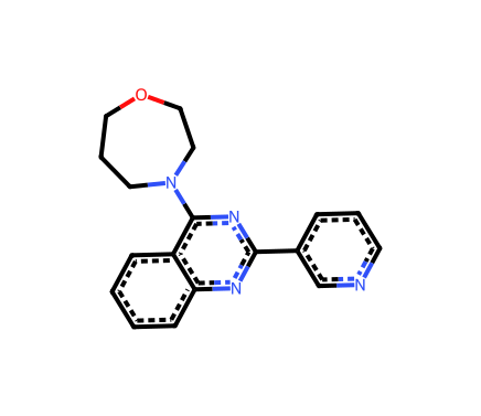 c1cncc(-c2nc(N3CCCOCC3)c3ccccc3n2)c1